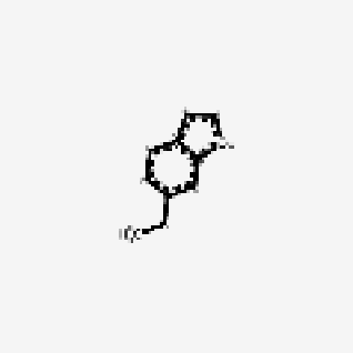 C[CH]c1ccc2ccoc2c1